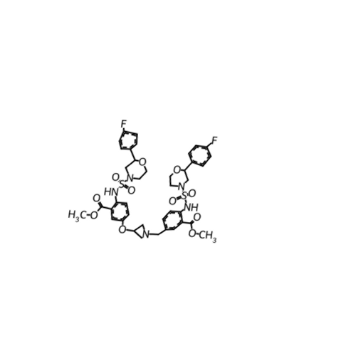 COC(=O)c1cc(CN2CC(Oc3ccc(NS(=O)(=O)N4CCOC(c5ccc(F)cc5)C4)c(C(=O)OC)c3)C2)ccc1NS(=O)(=O)N1CCOC(c2ccc(F)cc2)C1